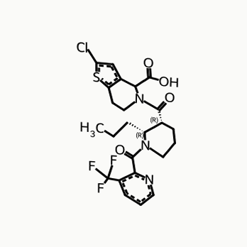 CCC[C@@H]1[C@H](C(=O)N2CCc3sc(Cl)cc3C2C(=O)O)CCCN1C(=O)c1ncccc1C(F)(F)F